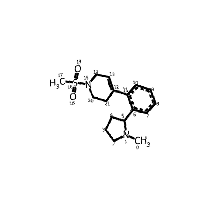 CN1CCCC1c1ccccc1C1=CCN(S(C)(=O)=O)CC1